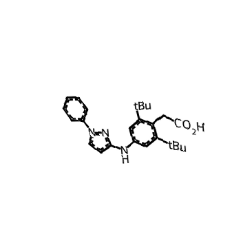 CC(C)(C)c1cc(Nc2ccn(-c3ccccc3)n2)cc(C(C)(C)C)c1CC(=O)O